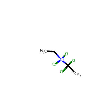 CC[N+](Cl)(Cl)C(C)(Cl)Cl